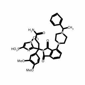 COc1ccc(C(CCC(N)=O)(c2nc(S(=O)(=O)O)cn2C)N2C(=O)c3cccc(N4CCN(C(C)c5ccccc5)CC4)c3C2=O)cc1OC